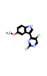 COc1ccc2[nH]cc(-c3nc(Cl)ncc3Cl)c2c1